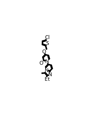 CCc1nc2ccc(-n3ccc(OCc4ccc(Cl)s4)cc3=O)cn2c1C